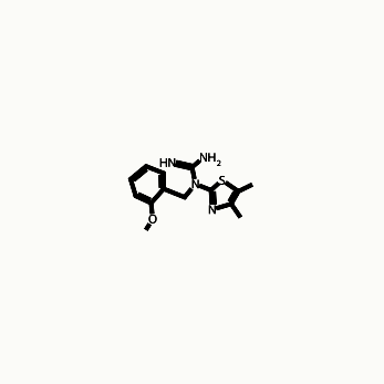 COc1ccccc1CN(C(=N)N)c1nc(C)c(C)s1